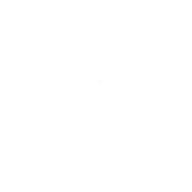 CC1(COCC2(C)CCCCC2)CCCCC1